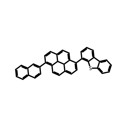 C1=CC2=C(c3ccc4ccccc4c3)C=CC3=CC=C4C(c5cccc6c5sc5ccccc56)=CC=C1C4C32